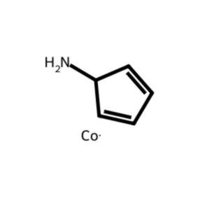 NC1C=CC=C1.[Co]